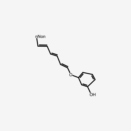 CCCCCCCCCC=CC=CC=COc1cccc(O)c1